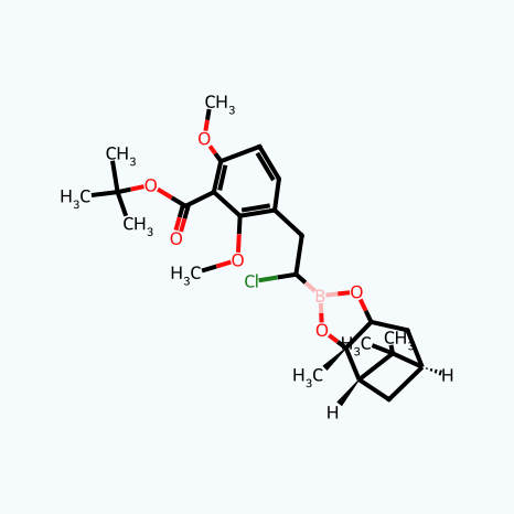 COc1ccc(CC(Cl)B2OC3C[C@H]4C[C@@H](C4(C)C)[C@]3(C)O2)c(OC)c1C(=O)OC(C)(C)C